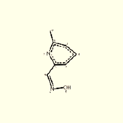 Cc1cccc(/C=N\O)n1